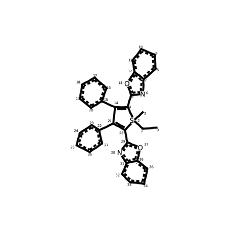 CC[Si]1(C)C(c2nc3ccccc3o2)=C(c2ccccc2)C(c2ccccc2)=C1c1nc2ccccc2o1